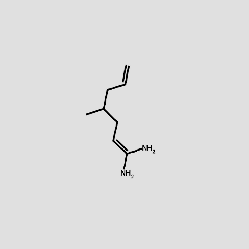 C=CCC(C)CC=C(N)N